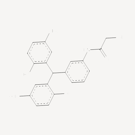 CC(=O)OCC(=O)Nc1cccc(C(c2cc(C=O)ccc2O)c2cc(C=O)ccc2O)c1